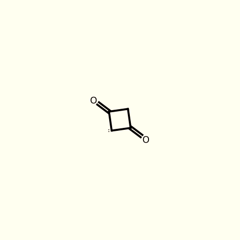 O=C1[C]C(=O)C1